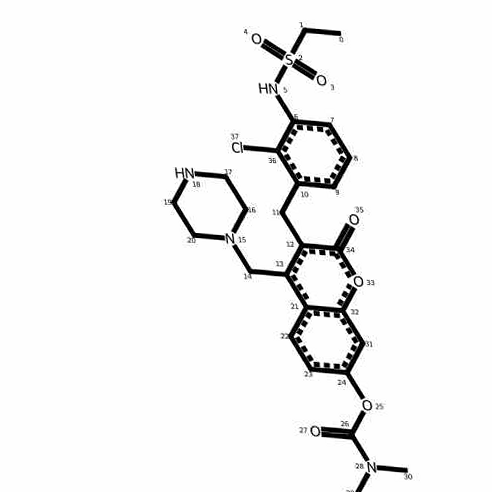 CCS(=O)(=O)Nc1cccc(Cc2c(CN3CCNCC3)c3ccc(OC(=O)N(C)C)cc3oc2=O)c1Cl